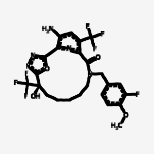 COc1ccc(CN2CCCCC[C@](O)(C(F)(F)F)c3nnc(o3)-c3nc(c(C(F)(F)F)cc3N)C2=O)cc1F